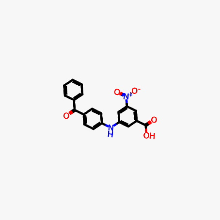 O=C(O)c1cc(Nc2ccc(C(=O)c3ccccc3)cc2)cc([N+](=O)[O-])c1